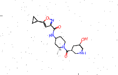 C[C@@H]1CC(NC(=O)c2cc(C3CC3)on2)CCN1C(=O)C1CNCC(O)C1